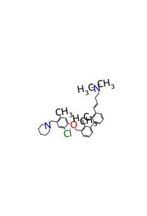 Cc1cc(OCc2cccc(-c3cccc(/C=C/CCN(C)C)c3C)c2C)c(Cl)cc1CN1CCCCC1